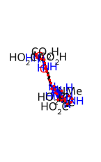 CNc1nc(Nc2ccc(CC3CN(CC(=O)O)CCNCCNCCN3CC(=O)O)cc2)nc(N2CCN(CCCCCCCCCCC(=O)NCCCC[C@H](NC(=O)N[C@@H](CCC(=O)O)C(=O)O)C(=O)O)CC2)n1